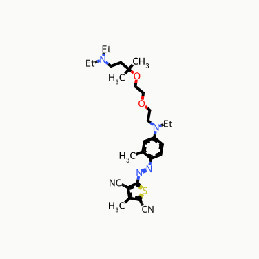 CCN(CC)CCC(C)(C)OCCOCCN(CC)c1ccc(N=Nc2sc(C#N)c(C)c2C#N)c(C)c1